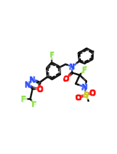 CS(=O)(=O)N1CC(F)(C(=O)N(Cc2ccc(-c3nnc(C(F)F)o3)cc2F)c2ccccc2)C1